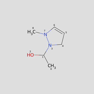 CC(O)N1CC=CN1C